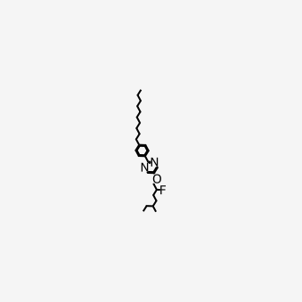 CCCCCCCCCCc1ccc(-c2ncc(OCC(F)CCC(C)CC)cn2)cc1